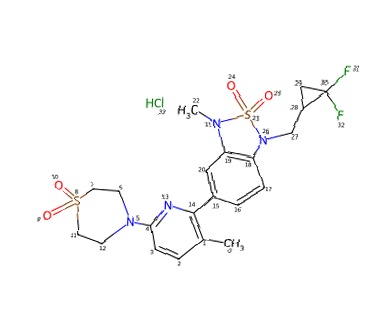 Cc1ccc(N2CCS(=O)(=O)CC2)nc1-c1ccc2c(c1)N(C)S(=O)(=O)N2CC1CC1(F)F.Cl